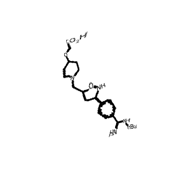 CCCCNC(=N)c1ccc(C2CC(CN3CCC(OCC(=O)O)CC3)ON2)cc1